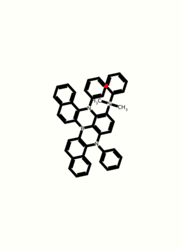 C[Si](C)(c1ccccc1)c1ccc2c3c1N(c1ccccc1)c1c(ccc4ccccc14)B3c1ccc3ccccc3c1N2c1ccccc1